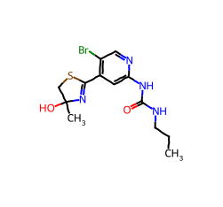 CCCNC(=O)Nc1cc(C2=NC(C)(O)CS2)c(Br)cn1